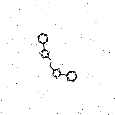 c1cnc(-c2noc(CSc3nnc(-c4cnccn4)o3)n2)cn1